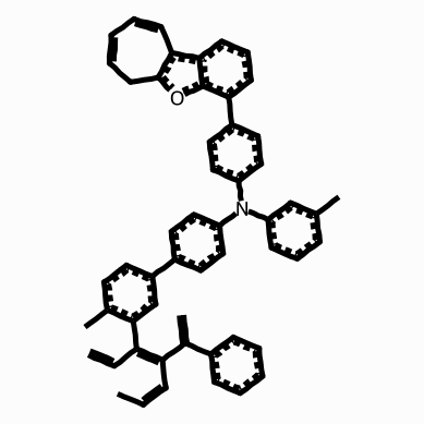 C=C/C(=C(\C=C/C)C(=C)c1ccccc1)c1cc(-c2ccc(N(c3ccc(-c4cccc5c6c(oc45)CC=CC=C6)cc3)c3cccc(C)c3)cc2)ccc1C